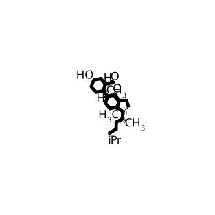 CC(C)CCC[C@@H](C)[C@H]1CCC2=C3OC(=O)[C@H]4CC(O)CCC4(C)[C@H]3CCC21C